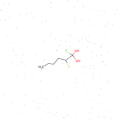 CCCCC(F)C(O)(O)F